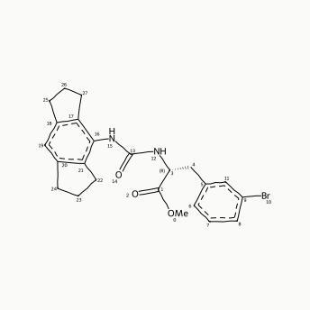 COC(=O)[C@@H](Cc1cccc(Br)c1)NC(=O)Nc1c2c(cc3c1CCC3)CCC2